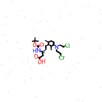 Cc1ccc(N(CCCl)CCCl)c(C)c1CC[C@@H](CC(=O)O)NC(=O)OC(C)(C)C